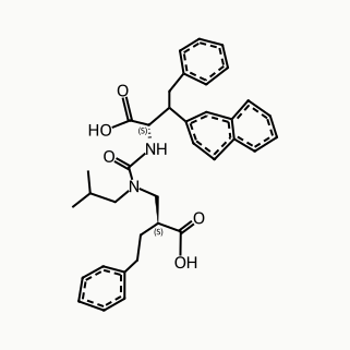 CC(C)CN(C[C@H](CCc1ccccc1)C(=O)O)C(=O)N[C@H](C(=O)O)C(Cc1ccccc1)c1ccc2ccccc2c1